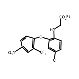 CCOC(=O)CNc1ccc(Cl)cc1Oc1ccc([N+](=O)[O-])cc1C(F)(F)F